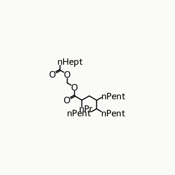 CCCCCCCC(=O)OCOC(=O)C(CCC)CC(CCCCC)C(CCCCC)CCCCC